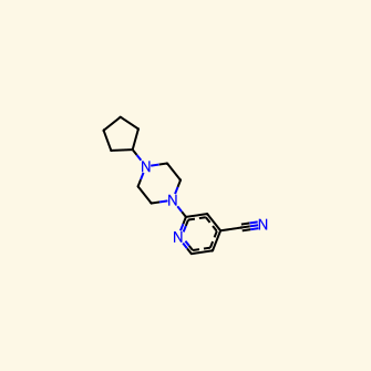 N#Cc1ccnc(N2CCN(C3CCCC3)CC2)c1